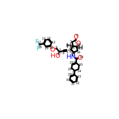 O=C1C[C@@H]2[C@@H](C#C[C@@H](O)COc3cccc(C(F)F)c3)[C@H](NC(=O)C3=CCC(c4ccccc4)CC3)C[C@@H]2O1